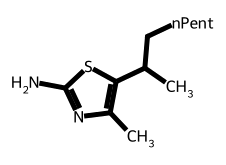 CCCCCCC(C)c1sc(N)nc1C